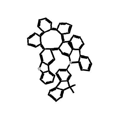 CC1(C)c2ccccc2-c2ccc(N(c3ccc4c5ccccc5c5ccccc5c5ccccc5c5cc6oc7ccccc7c6cc5c4c3)c3ccccc3-c3ccccc3)cc21